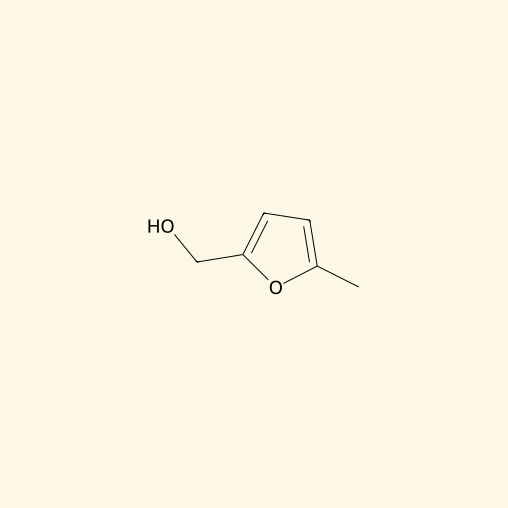 Cc1ccc(CO)o1